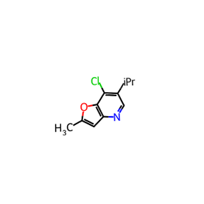 Cc1cc2ncc(C(C)C)c(Cl)c2o1